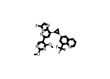 COc1ncc(-c2cc([C@H]3C[C@@H]3c3cc(C(F)(F)F)c4ncccc4c3)c3ncc(F)n3n2)c(OC)n1